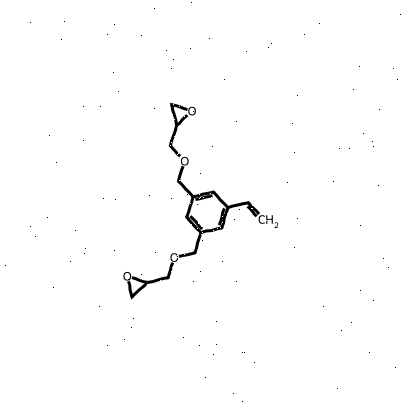 C=Cc1cc(COCC2CO2)cc(COCC2CO2)c1